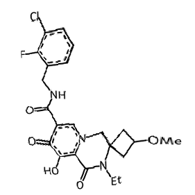 CCN1C(=O)c2c(O)c(=O)c(C(=O)NCc3cccc(Cl)c3F)cn2CC12CC(OC)C2